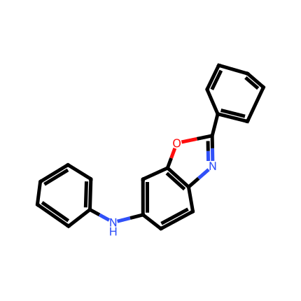 c1ccc(Nc2ccc3nc(-c4ccccc4)oc3c2)cc1